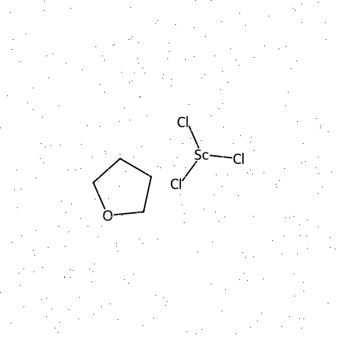 C1CCOC1.[Cl][Sc]([Cl])[Cl]